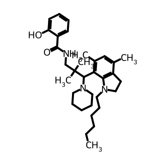 CCCCCCN1CCc2c(C)cc(C)c(C(N3CCCCC3)C(C)(C)CNC(=O)c3ccccc3O)c21